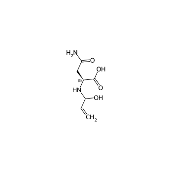 C=CC(O)N[C@@H](CC(N)=O)C(=O)O